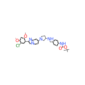 COc1cc(OC)c(-c2cn3ccc(N4CCC(NCc5ccc(NC(=O)OC(C)(C)C)cc5)C4)cc3n2)cc1Cl